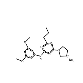 CCCc1cc(N2CC[C@H](N)C2)nc(Nc2cc(OC)cc(OC)c2)n1